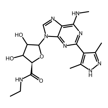 CCNC(=O)[C@@H]1OC(n2cnc3c(NC)nc(-c4c(C)n[nH]c4C)nc32)C(O)C1O